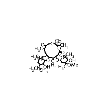 CC[C@@]1(C)OC(=O)[C@H](C)[C@@H](O[C@H]2CC(C)(OC)[C@@H](O)C(C)O2)[C@H](C)[C@@H](O[C@@H]2OC(C)CC(N(C)C)C2O)[C@@H](C)C[C@@H](C)C(=O)CC[C@H]1C